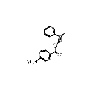 C[SiH](COC(=O)c1ccc(N)cc1)c1ccccc1